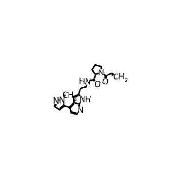 C=CC(=O)N1CCCC1C(=O)NCCc1cc2c(-c3ccnn3C)ccnc2[nH]1